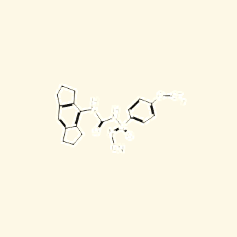 N#CN=S(=O)(NC(=O)Nc1c2c(cc3c1CCC3)CCC2)c1ccc(OC(F)(F)F)cc1